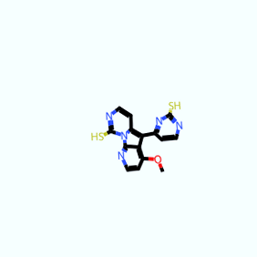 COc1ccnc2c1c(-c1ccnc(S)n1)c1ccnc(S)n12